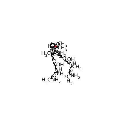 CO[Si](C)(C)O[Si](O[SiH2]CCCOCC(O)CNC(C)COCC(C)N)(O[Si](C)(C)CCCOCC(O)CNC(C)COCC(C)N)c1ccccc1